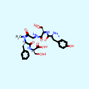 CN(C(=O)CNC(=O)[C@@H](CO)NC(=O)[C@@H](N)Cc1ccc(O)cc1)[C@@H](Cc1ccccc1)C(=O)N[C@H](CO)C(=O)O